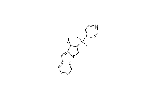 CC(C)(c1ccncc1)C1Cn2c(cc3ccccc32)C1=O